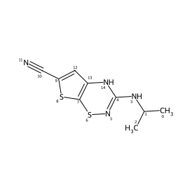 CC(C)NC1=NSc2sc(C#N)cc2N1